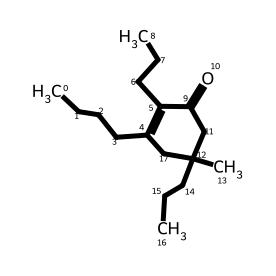 CCCCC1=C(CCC)C(=O)CC(C)(CCC)C1